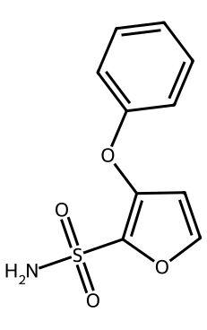 NS(=O)(=O)c1occc1Oc1ccccc1